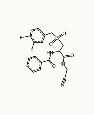 N#CCNC(=O)C(CS(=O)(=O)Cc1ccc(F)c(F)c1)NC(=O)c1ccccc1